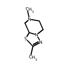 CC1=NN2CCN(C)CC2S1